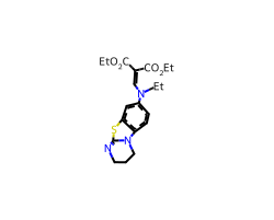 CCOC(=O)C(=CN(CC)c1ccc2c(c1)SC1=NCCCN12)C(=O)OCC